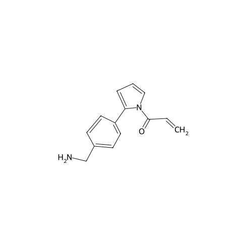 C=CC(=O)n1cccc1-c1ccc(CN)cc1